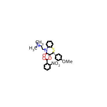 COc1ccc([C@H]2Sc3ccccc3N(CCN(C)C)C(=O)[C@H]2OC(=O)c2ccccc2[N+](=O)[O-])cc1